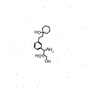 NC(c1cccc(CCC2(O)CCCCC2)c1)[C@H](O)CO